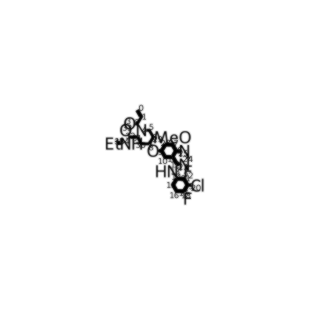 C=CC(=O)N1CCC(Oc2cc3c(Nc4ccc(F)c(Cl)c4F)ncnc3cc2OC)CC1C(=O)NCC